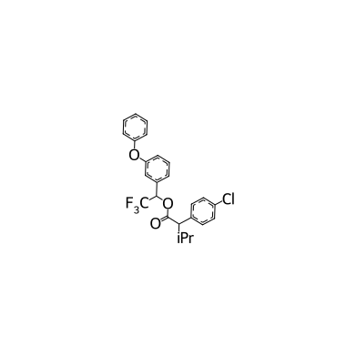 CC(C)C(C(=O)OC(c1cccc(Oc2ccccc2)c1)C(F)(F)F)c1ccc(Cl)cc1